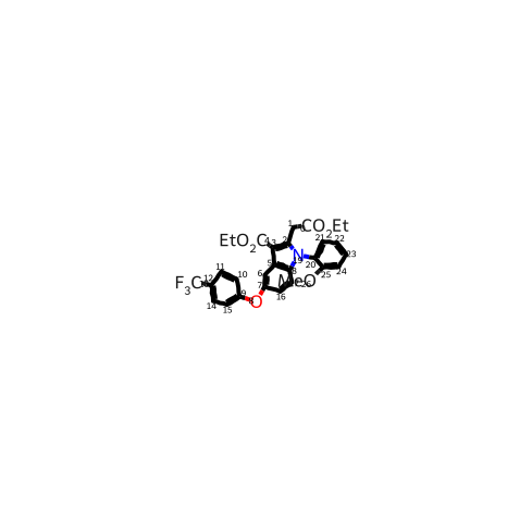 CCOC(=O)Cc1c(C(=O)OCC)c2cc(Oc3ccc(C(F)(F)F)cc3)ccc2n1-c1ccccc1OC